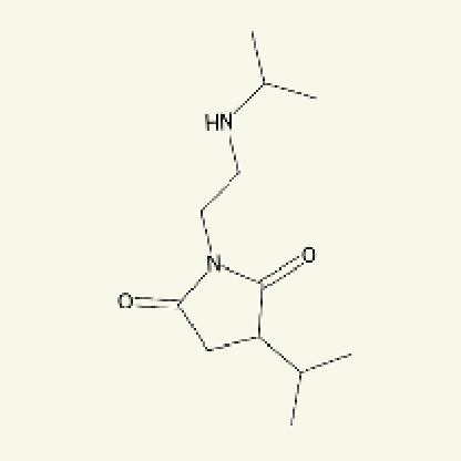 CC(C)NCCN1C(=O)CC(C(C)C)C1=O